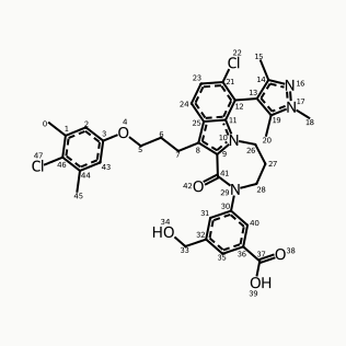 Cc1cc(OCCCc2c3n(c4c(-c5c(C)nn(C)c5C)c(Cl)ccc24)CCCN(c2cc(CO)cc(C(=O)O)c2)C3=O)cc(C)c1Cl